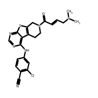 CN(C)C/C=C/C(=O)N1CCc2c(sc3ncnc(Nc4ccc(C#N)c(Cl)c4)c23)C1